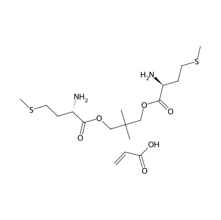 C=CC(=O)O.CSCC[C@H](N)C(=O)OCC(C)(C)COC(=O)[C@@H](N)CCSC